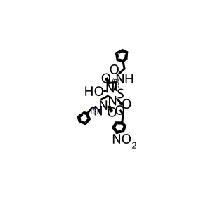 O=C(Cc1ccccc1)N[C@@H]1C(=O)N(CO)[C@@H]1SC(C(=O)OCc1ccc([N+](=O)[O-])cc1)N1CCN(/N=C/c2ccccc2)C1=O